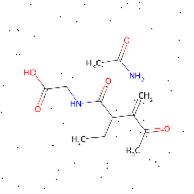 C=C(C(C)=O)C(CC)C(=O)NCC(=O)O.CC(N)=O